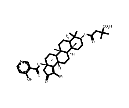 CC(C)C1=C2[C@H]3CC[C@@H]4[C@@]5(C)CC[C@H](OC(=O)CC(C)(C)C(=O)O)C(C)(C)[C@@H]5CC[C@@]4(C)[C@]3(C)CC[C@@]2(NC(=O)c2cnccc2O)CC1=O